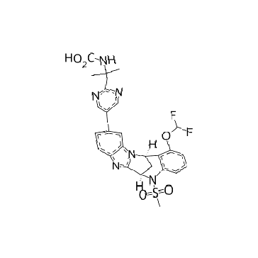 CC(C)(NC(=O)O)c1ncc(-c2ccc3nc4n(c3c2)[C@@H]2C[C@H]4N(S(C)(=O)=O)c3cccc(OC(F)F)c32)cn1